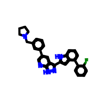 Fc1ccccc1-c1cccc2[nH]c(-c3n[nH]c4ncc(-c5cccc(CN6CCCC6)c5)cc34)cc12